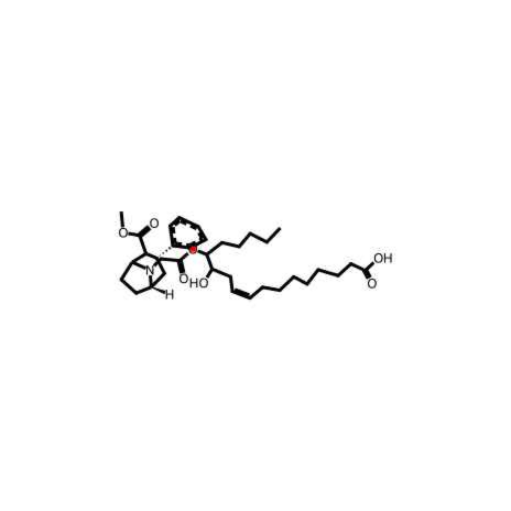 CCCCCC(OC(=O)CN1C2CC[C@H]1C[C@@H](c1ccccc1)C2C(=O)OC)C(O)C/C=C\CCCCCCCC(=O)O